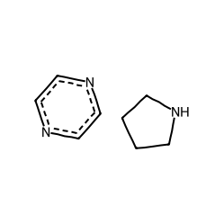 C1CCNC1.c1cnccn1